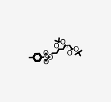 Cc1ccc(S(=O)(=O)OCCC2C[C@H](CC(=O)OC(C)(C)C)OC(C)(C)O2)cc1